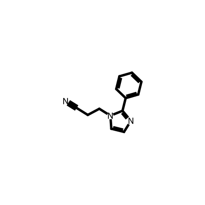 N#CCCn1ccnc1-c1ccccc1